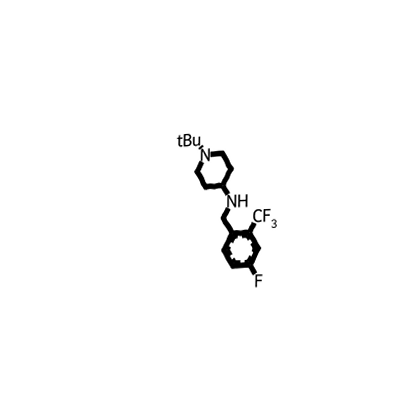 CC(C)(C)N1CCC(NCc2ccc(F)cc2C(F)(F)F)CC1